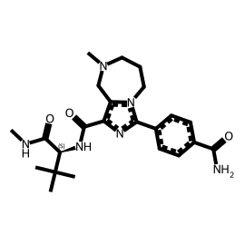 CNC(=O)[C@@H](NC(=O)c1nc(-c2ccc(C(N)=O)cc2)n2c1CN(C)CCC2)C(C)(C)C